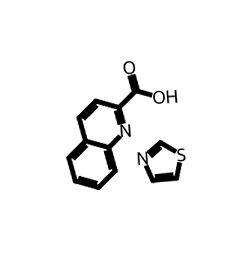 O=C(O)c1ccc2ccccc2n1.c1cscn1